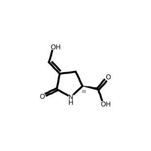 O=C1N[C@H](C(=O)O)CC1=CO